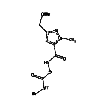 COCc1cc(C(=O)NOC(=O)NC(C)C)n(C)n1